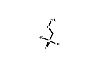 NOCP(=O)(O)O